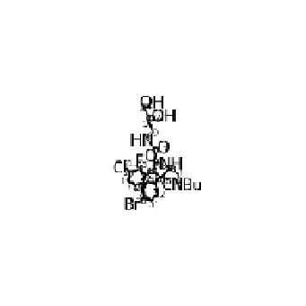 CC(C)(C)C[C@@H]1N[C@H](OC(=O)NCC[C@H](O)CO)[C@H](c2cccc(Cl)c2F)[C@@]1(C#N)c1ccc(Br)cc1